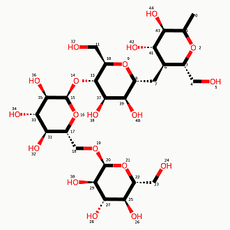 CC1O[C@H](CO)[C@@H](C[C@H]2O[C@H](CO)[C@@H](O[C@H]3O[C@H](CO[C@H]4O[C@H](CO)[C@@H](O)[C@H](O)[C@H]4O)[C@@H](O)[C@H](O)[C@H]3O)[C@H](O)[C@@H]2O)[C@H](O)[C@H]1O